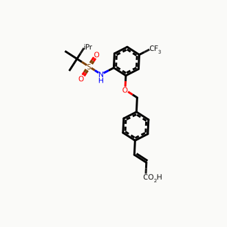 CC(C)C(C)(C)S(=O)(=O)Nc1ccc(C(F)(F)F)cc1OCc1ccc(/C=C/C(=O)O)cc1